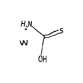 NC(O)=S.[W]